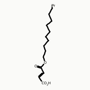 CC(C)CCCCCCCCCCOC(=O)C=CC(=O)O